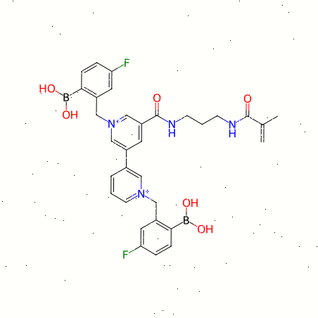 C=C(C)C(=O)NCCCNC(=O)c1cc(-c2ccc[n+](Cc3cc(F)ccc3B(O)O)c2)c[n+](Cc2cc(F)ccc2B(O)O)c1